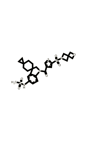 CS(=O)(=O)Nc1ccc2c(c1)C1(CCC3(CC3)CC1)CN2C(=O)c1csc(S(=O)(=O)N2CC3(COC3)C2)c1